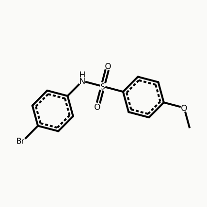 COc1ccc(S(=O)(=O)Nc2ccc(Br)cc2)cc1